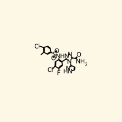 Cc1cc(S(=O)(=O)Nc2cc(Cl)c(F)cc2-c2nnc(C(N)=O)n2-c2cc[nH]n2)ccc1Cl